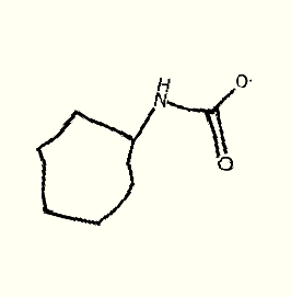 [O]C(=O)NC1CCCCC1